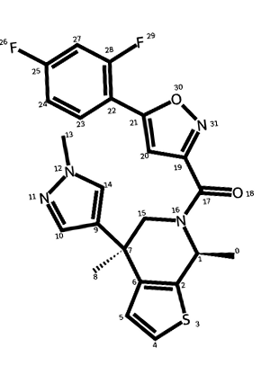 C[C@H]1c2sccc2[C@@](C)(c2cnn(C)c2)CN1C(=O)c1cc(-c2ccc(F)cc2F)on1